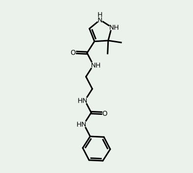 CC1(C)NNC=C1C(=O)NCCNC(=O)Nc1ccccc1